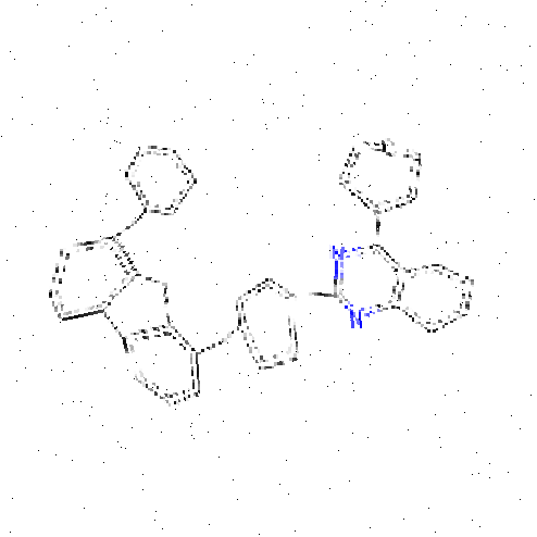 c1ccc(-c2cccc3c2Cc2c(-c4ccc(-c5nc(-c6ccccc6)c6ccccc6n5)cc4)cccc2-3)cc1